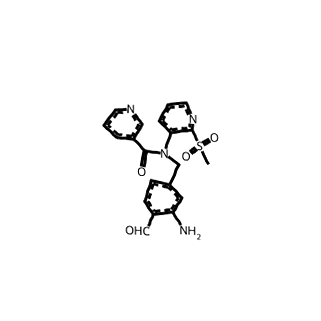 CS(=O)(=O)c1ncccc1N(Cc1ccc(C=O)c(N)c1)C(=O)c1cccnc1